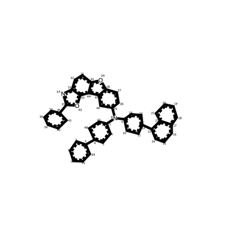 c1ccc(-c2ccc(N(c3ccc(-c4cccc5ccccc45)cc3)c3ccc4oc5ccc6nc(-c7ccccc7)oc6c5c4c3)cc2)cc1